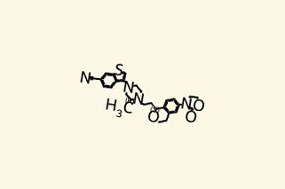 C[C@@H]1CN(c2csc3cc(C#N)ccc23)CCN1CC[C@@H]1OCCc2cc(N3CCOC3=O)ccc21